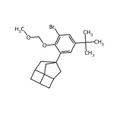 COCOc1c(Br)cc(C(C)(C)C)cc1C12CC3CC4CC(C1)C43C2